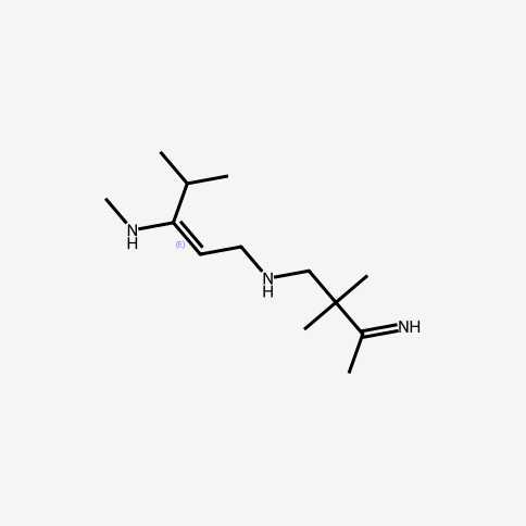 CN/C(=C/CNCC(C)(C)C(C)=N)C(C)C